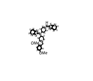 COc1ccc(OC)c(CN2CCC(N(c3nc4cccnc4s3)C3CCN(Nc4nc5cccnc5s4)CC3)CC2)c1